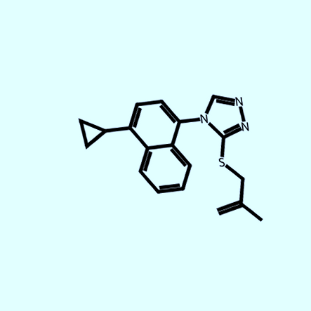 C=C(C)CSc1nncn1-c1ccc(C2CC2)c2ccccc12